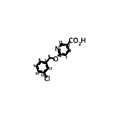 O=C(O)c1ccc(OCc2cccc(Cl)c2)nc1